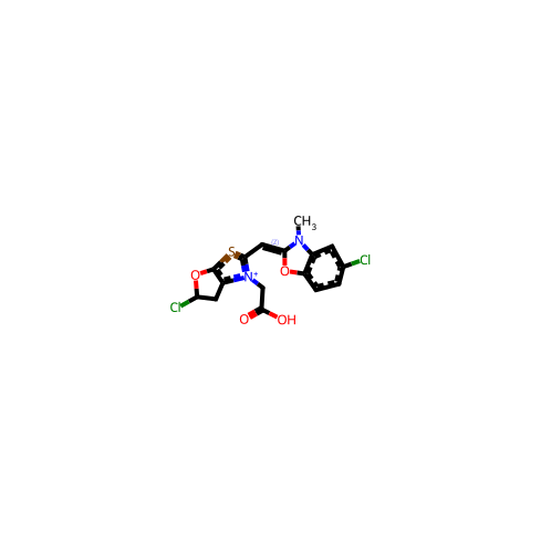 CN1/C(=C/c2sc3c([n+]2CC(=O)O)CC(Cl)O3)Oc2ccc(Cl)cc21